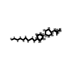 CCCCCCCCCc1ccc([C@H]2CC[C@H](C=C(F)F)CC2)cc1